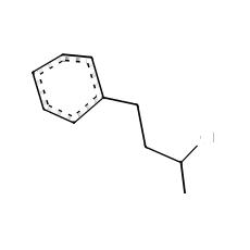 CC(O)CCc1cc[c]cc1